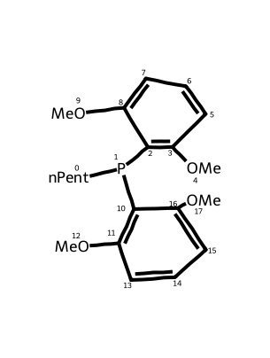 CCCCCP(c1c(OC)cccc1OC)c1c(OC)cccc1OC